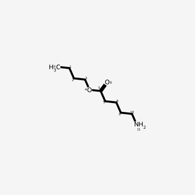 CCCCOC(=O)[CH]CCCN